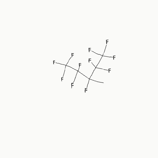 CC(F)(C(F)(F)C(F)(F)F)C(F)(F)C(F)(F)F